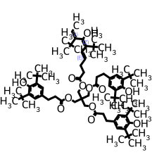 C\C=C(/C(O)=C(\C=C\CCC(=O)OCC(COC(=O)CCc1cc(C(C)(C)C)c(O)c(C(C)(C)C)c1)(COC(=O)CCc1cc(C(C)(C)C)c(O)c(C(C)(C)C)c1)COC(=O)CCc1cc(C(C)(C)C)c(O)c(C(C)(C)C)c1)C(C)(C)C)C(C)(C)C